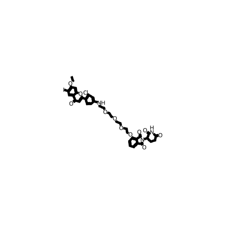 CCOc1cc2oc(-c3ccc(NCCOCCOCCOCCOc4cccc5c4C(=O)N(C4CCC(=O)NC4=O)C5=O)cc3Cl)cc(=O)c2cc1I